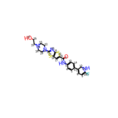 O=C(Nc1ccc(C2=CC=C(F)NC2)cc1)c1cc2sc(N3CCN(CCO)CC3)nc2s1